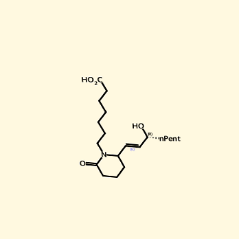 CCCCC[C@@H](O)/C=C/C1CCCC(=O)N1CCCCCCC(=O)O